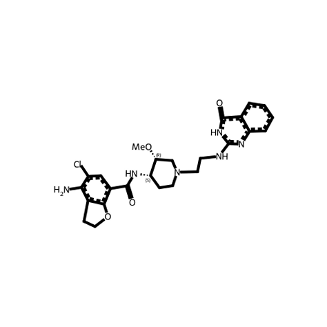 CO[C@@H]1CN(CCNc2nc3ccccc3c(=O)[nH]2)CC[C@@H]1NC(=O)c1cc(Cl)c(N)c2c1OCC2